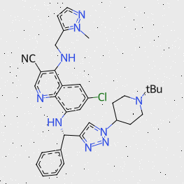 Cn1nccc1CNc1c(C#N)cnc2c(N[C@@H](c3ccccc3)c3cn(C4CCN(C(C)(C)C)CC4)nn3)cc(Cl)cc12